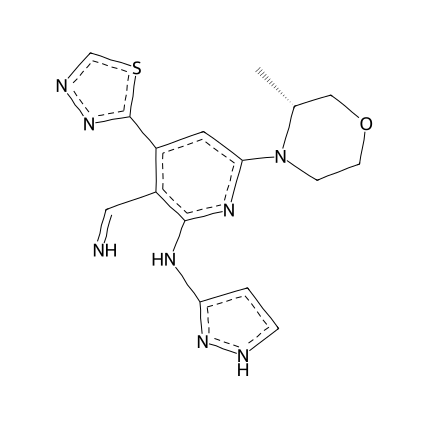 C[C@@H]1COCCN1c1cc(-c2nncs2)c(C=N)c(Nc2cc[nH]n2)n1